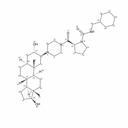 C[C@]12C[C@H](N3CCN(C(=O)[C@@H]4CCCN4C(=O)NCC4CCCCC4)CC3)[C@@H](O)C[C@@H]1CC[C@@H]1[C@@H]2CC[C@]2(C)[C@@H](O)CC[C@@H]12